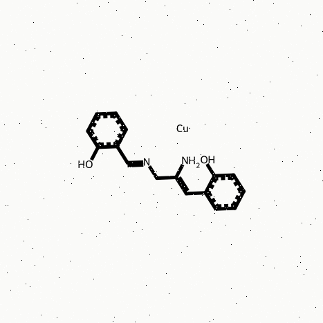 NC(=Cc1ccccc1O)CN=Cc1ccccc1O.[Cu]